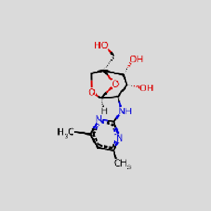 Cc1cc(C)nc(N[C@H]2[C@H]3OC[C@](CO)(O3)[C@H](O)[C@@H]2O)n1